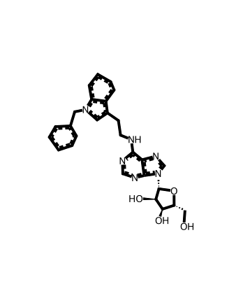 OC[C@H]1O[C@@H](n2cnc3c(NCCc4cn(Cc5ccccc5)c5ccccc45)ncnc32)[C@H](O)[C@@H]1O